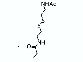 CC(=O)NCCSSCCNC(=O)CI